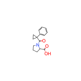 O=C(O)C1CCCN1C(=O)C1(c2ccccc2)CC1